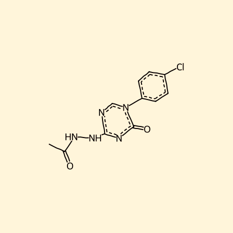 CC(=O)NNc1ncn(-c2ccc(Cl)cc2)c(=O)n1